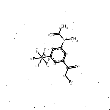 CC(=O)N(C)c1cc(C(=O)CBr)cc(S(F)(F)(F)(F)F)c1